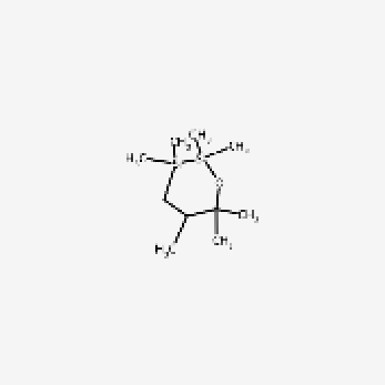 CC1C[Si](C)(C)[Si](C)(C)OC1(C)C